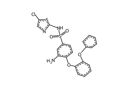 Nc1cc(S(=O)(=O)Nc2ncc(Cl)s2)ccc1Oc1ccccc1Oc1ccccc1